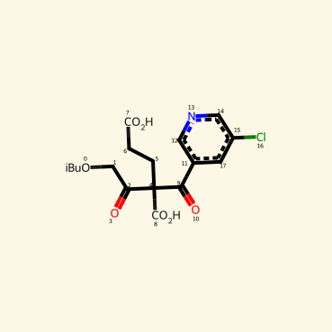 CC(C)COCC(=O)C(CCC(=O)O)(C(=O)O)C(=O)c1cncc(Cl)c1